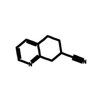 N#CC1CCc2cccnc2C1